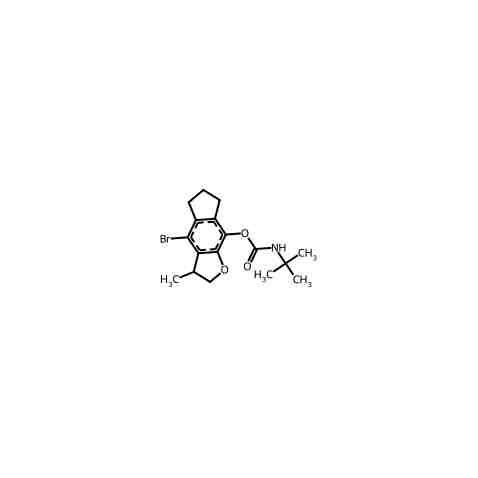 CC1COc2c(OC(=O)NC(C)(C)C)c3c(c(Br)c21)CCC3